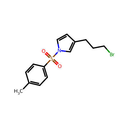 Cc1ccc(S(=O)(=O)n2ccc(CCCBr)c2)cc1